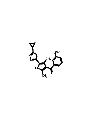 COc1cccc(C(=O)c2c(C)[nH]c(-c3nnc(C4CC4)o3)c2C)c1